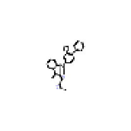 C=C(/C=C\C=C/C)c1ccccc1Nc1ccc(-c2ccccc2)c(Cl)c1